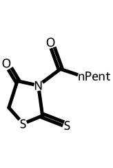 CCCCCC(=O)N1C(=O)CSC1=S